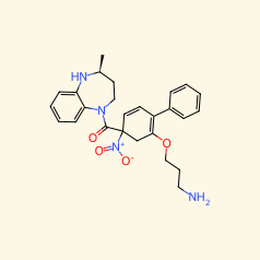 C[C@H]1CCN(C(=O)C2([N+](=O)[O-])C=CC(c3ccccc3)=C(OCCCN)C2)c2ccccc2N1